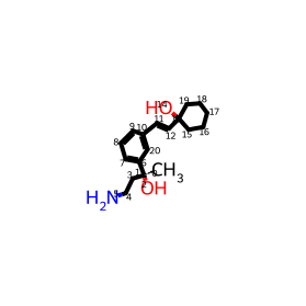 C[C@](O)(CCN)c1cccc(/C=C/C2(O)CCCCC2)c1